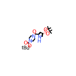 CC(C)(C)OC(=O)N1CCN(C(=O)c2cc(B3OC(C)(C)C(C)(C)O3)c[nH]2)CC1